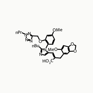 CCCCc1ncc(C=C(Cc2cc3c(cc2OC)OCO3)C(=O)O)n1-c1ccc(OC)cc1OCc1nnn(CCC)n1